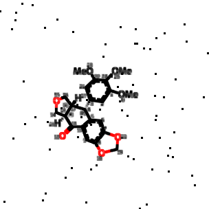 COc1cc([C@@H]2c3cc4c(cc3C(=O)[C@H]3COC[C@H]23)OCO4)cc(OC)c1OC